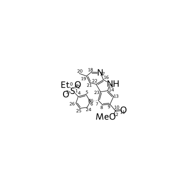 CCS(=O)(=O)C1=C[C@H](c2cc(C(=O)OC)cc3[nH]c4ncc(C)cc4c23)CC=C1